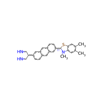 Cc1cc2c(cc1C)N(C)/C(=c1/ccc3cc4cc(=C(C=N)C=N)ccc4cc3c1)S2